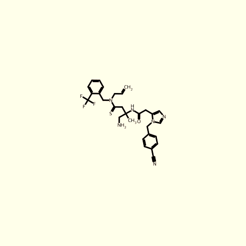 C=CCN(Cc1ccccc1C(F)(F)F)C(=S)CC(C)(CN)NC(=O)Cc1cncn1Cc1ccc(C#N)cc1